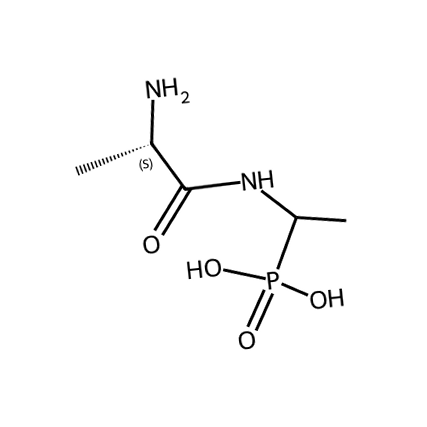 CC(NC(=O)[C@H](C)N)P(=O)(O)O